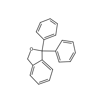 c1ccc(C2(c3ccccc3)OCc3ccccc32)cc1